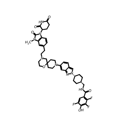 Cn1c(=O)n(C2CCC(=O)NC2=O)c2ccc(CCN3CCOC4(CCN(c5ccc6cn([C@H]7CC[C@H](CNC(=O)c8cc(F)c(O)c(F)c8F)CC7)nc6c5)CC4)C3)cc21